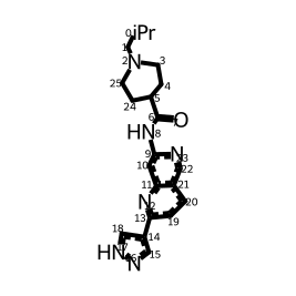 CC(C)CN1CCC(C(=O)Nc2cc3nc(-c4cn[nH]c4)ccc3cn2)CC1